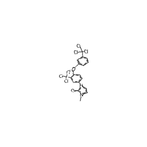 Cn1ccn(-c2ccc(Oc3cccc(C(Cl)(Cl)Cl)c3)c(C(Cl)(Cl)Cl)c2)c1=O